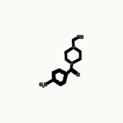 O=NCN1CCN(C(=O)c2ccc([N+](=O)[O-])cc2)CC1